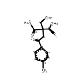 COC(=O)C(CC=O)(CC(=O)c1ccc(C(F)(F)F)cc1)C(=O)OC